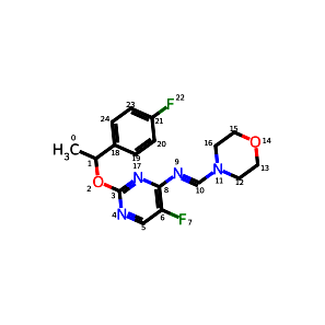 CC(Oc1ncc(F)c(/N=C/N2CCOCC2)n1)c1ccc(F)cc1